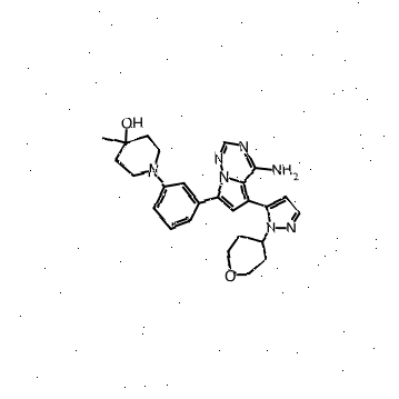 CC1(O)CCN(c2cccc(-c3cc(-c4ccnn4C4CCOCC4)c4c(N)ncnn34)c2)CC1